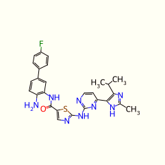 Cc1nc(C(C)C)c(-c2ccnc(Nc3ncc(C(=O)Nc4cc(-c5ccc(F)cc5)ccc4N)s3)n2)[nH]1